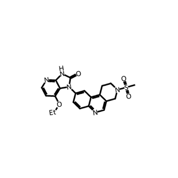 CCOc1ccnc2[nH]c(=O)n(-c3ccc4ncc5c(c4c3)CCN(S(C)(=O)=O)C5)c12